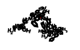 CC(C)(C)c1ccc(C(=O)N2CCC[C@H]2C(N)=O)cc1.C[C@@H]1C(O)CC[N+]1(C(N)=O)C(=O)c1ccc(-c2ccccc2)cc1.Cc1ccc(/C=C/C(=O)N[C@@H](CCC(N)=O)C(=O)OO)cc1.Cc1ccc(C(=O)N2CCC[C@H]2C(=O)NO)c(O)c1.Cc1ccc(C(=O)N2CCC[C@H]2C(N)=O)c(O)c1.NC(=O)[C@@H]1CCCN1C(=O)c1ccc(-c2ccccc2)cc1